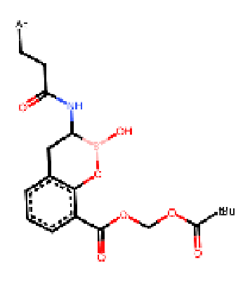 CC(=O)CCC(=O)NC1Cc2cccc(C(=O)OCOC(=O)C(C)(C)C)c2OB1O